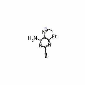 C#Cc1nc(N)c(/N=C\C)c(CC)n1